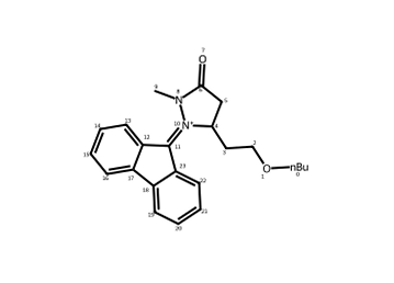 CCCCOCCC1CC(=O)N(C)[N+]1=C1c2ccccc2-c2ccccc21